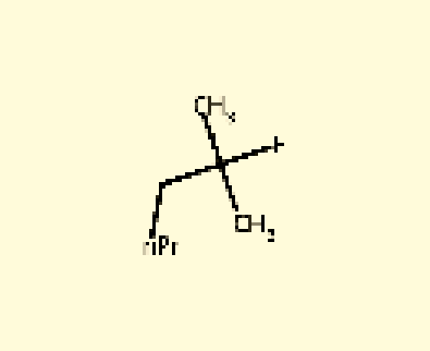 CCCCC(C)(C)F